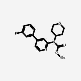 CC(C)(C)OC(=O)N(c1cc(-c2[c]ccc(F)c2)ccn1)C1CCOCC1